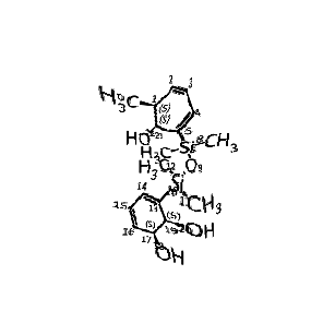 C[C@H]1C=CC=C([Si](C)(C)O[Si](C)(C)C2=CC=C[C@H](O)[C@@H]2O)[C@H]1O